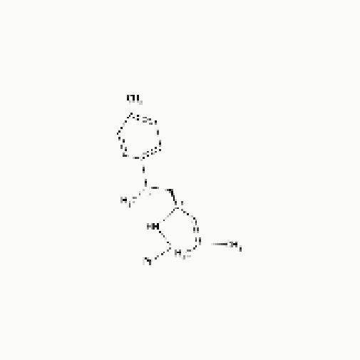 CC(C)=C[C@H](C[C@H](C)c1ccc(C)cc1)NCC(C)C